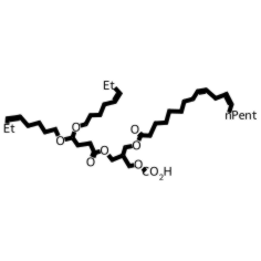 CC/C=C\CCCCOC(CCC(=O)OCC(COC(=O)O)COC(=O)CCCCCCC/C=C\C/C=C\CCCCC)OCCCC/C=C\CC